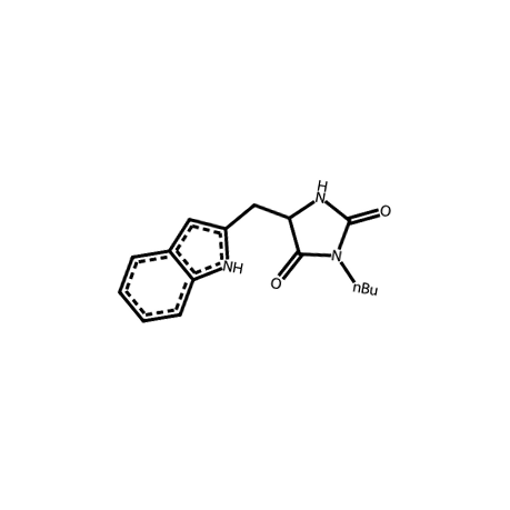 CCCCN1C(=O)NC(Cc2cc3ccccc3[nH]2)C1=O